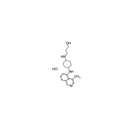 Cc1cncc2cccc(NC3CCC(NCCCO)CC3)c12.Cl